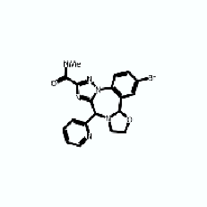 CNC(=O)c1nc2n(n1)-c1ccc(Br)cc1C1OCCN1C2c1ccccn1